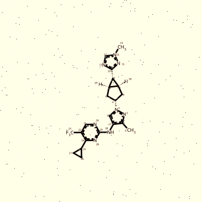 Cc1nn([C@@H]2C[C@@H]3[C@H](C2)[C@H]3c2ncn(C)n2)cc1Nc1ncc(C(F)(F)F)c(C2CC2)n1